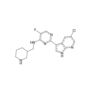 Fc1cnc(-c2c[nH]c3ncc(Cl)cc23)nc1NCC1CCCNC1